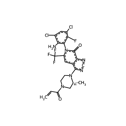 C=CC(=O)N1CCN(c2ncnc3c(=O)n(-c4c(N)c(Cl)cc(Cl)c4F)c(C(F)(F)F)cc23)[C@H](C)C1